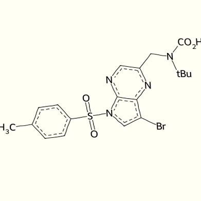 Cc1ccc(S(=O)(=O)n2cc(Br)c3nc(CN(C(=O)O)C(C)(C)C)cnc32)cc1